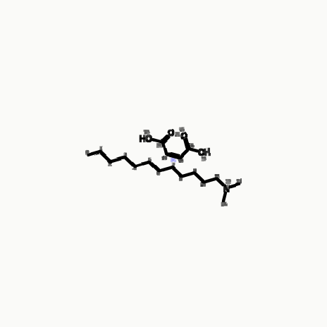 CCCCCCCCCCCCN(C)C.O=C(O)/C=C\C(=O)O